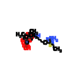 CCCc1nc2c(N)nc3cc(CCCCCNC(=O)CC(C)(C)COCC(C)(C)CC(=O)ON4C(=O)CC(S(=O)(=O)O)C4=O)ccc3c2s1